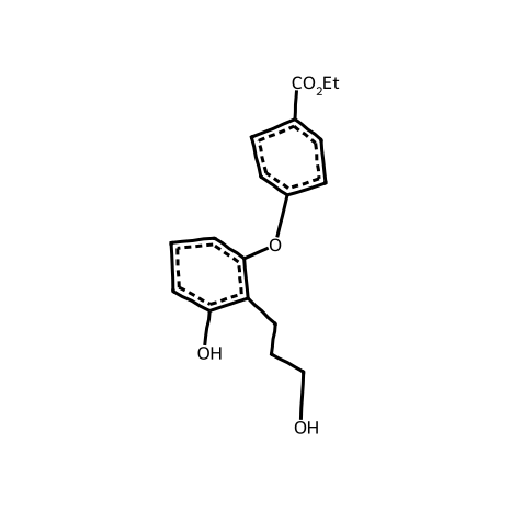 CCOC(=O)c1ccc(Oc2cccc(O)c2CCCO)cc1